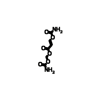 NC(=O)OC=CC(=O)OCOC(N)=O